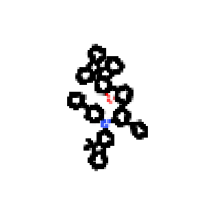 CC1(C)c2ccccc2-c2ccc(N(c3ccc(-c4ccccc4)cc3)c3cc(-c4ccccc4)cc(-c4cccc5c4oc4ccc6c(c45)-c4ccccc4C64c5ccccc5-c5ccccc54)c3)cc21